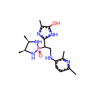 Cc1ccc(NCC(c2nc(C)c(O)[nH]2)P2(=O)N[C@@H](C)[C@@H](C)N2)c(C)n1